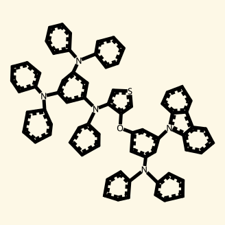 c1ccc(N(c2ccccc2)c2cc(N(c3ccccc3)c3ccccc3)cc(N(c3ccccc3)c3cscc3Oc3cc(N(c4ccccc4)c4ccccc4)cc(-n4c5ccccc5c5ccccc54)c3)c2)cc1